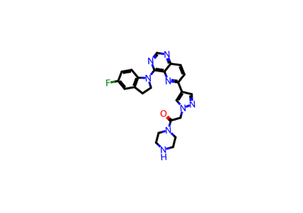 O=C(Cn1cc(-c2ccc3ncnc(N4CCc5cc(F)ccc54)c3n2)cn1)N1CCNCC1